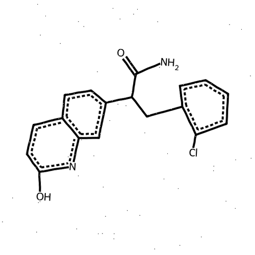 NC(=O)C(Cc1ccccc1Cl)c1ccc2ccc(O)nc2c1